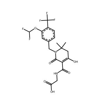 CC1(C)CC(O)=C(C(=O)NCC(=O)O)C(=O)N1Cc1ccc(C(F)(F)F)c(OC(F)F)c1